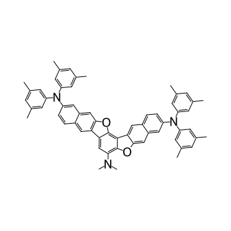 Cc1cc(C)cc(N(c2cc(C)cc(C)c2)c2ccc3cc4c(cc3c2)oc2c4cc(N(C)C)c3oc4cc5cc(N(c6cc(C)cc(C)c6)c6cc(C)cc(C)c6)ccc5cc4c32)c1